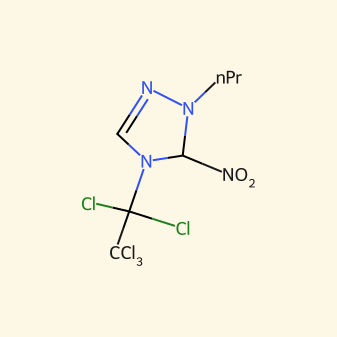 CCCN1N=CN(C(Cl)(Cl)C(Cl)(Cl)Cl)C1[N+](=O)[O-]